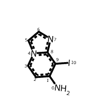 Nc1ccn2ccnc2c1I